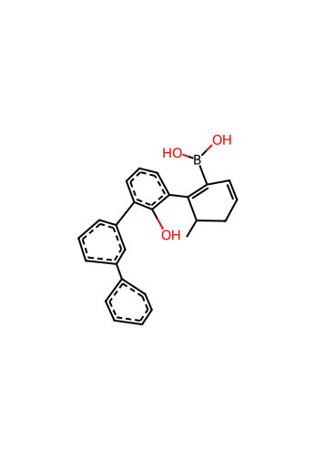 CC1CC=CC(B(O)O)=C1c1cccc(-c2cccc(-c3ccccc3)c2)c1O